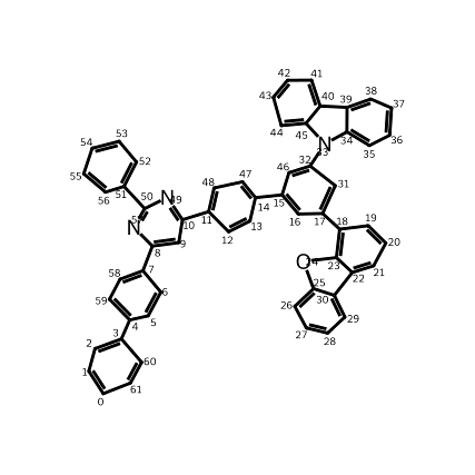 c1ccc(-c2ccc(-c3cc(-c4ccc(-c5cc(-c6cccc7c6oc6ccccc67)cc(-n6c7ccccc7c7ccccc76)c5)cc4)nc(-c4ccccc4)n3)cc2)cc1